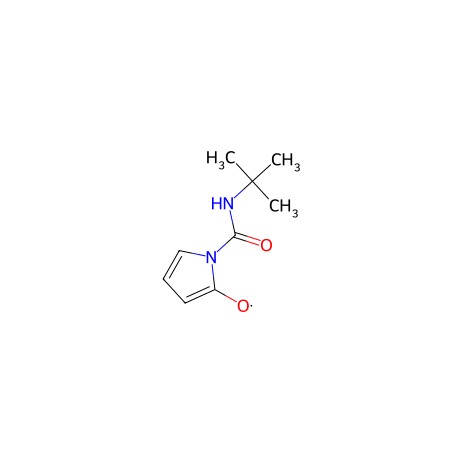 CC(C)(C)NC(=O)n1cccc1[O]